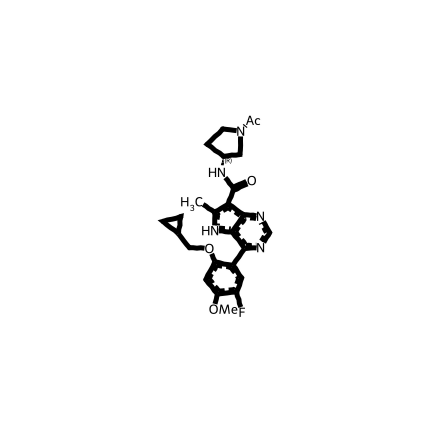 COc1cc(OCC2CC2)c(-c2ncnc3c(C(=O)N[C@@H]4CCN(C(C)=O)C4)c(C)[nH]c23)cc1F